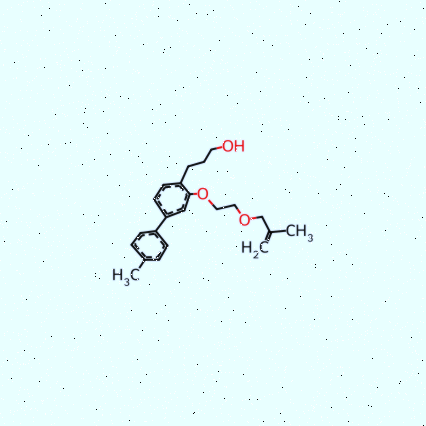 C=C(C)COCCOc1cc(-c2ccc(C)cc2)ccc1CCCO